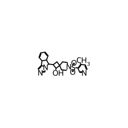 Cc1ccncc1S(=O)(=O)N1CCC2(CC1)CC(C1C3C=CC=CC3c3cncn31)C2O